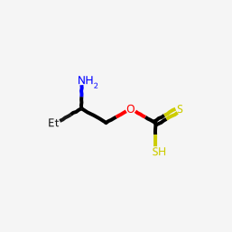 CCC(N)COC(=S)S